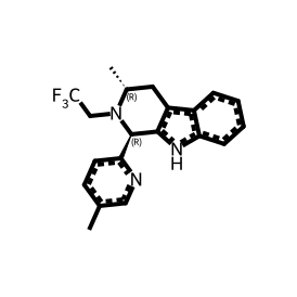 Cc1ccc([C@@H]2c3[nH]c4ccccc4c3C[C@@H](C)N2CC(F)(F)F)nc1